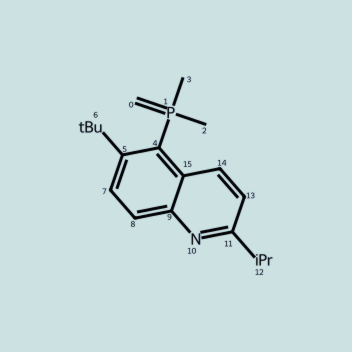 C=P(C)(C)c1c(C(C)(C)C)ccc2nc(C(C)C)ccc12